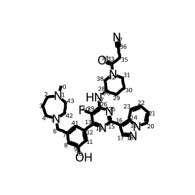 CN1CCCN(Cc2cc(O)cc(-c3nc(-c4cnn5ccccc45)nc(N[C@@H]4CCCN(C(=O)CC#N)C4)c3F)c2)CC1